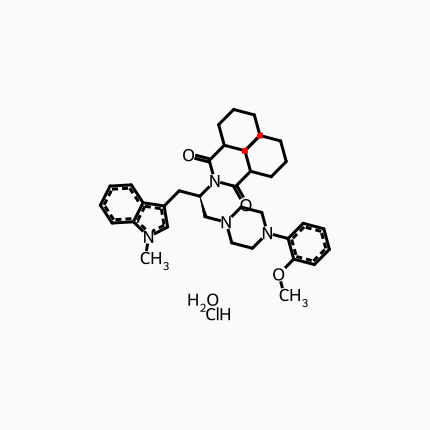 COc1ccccc1N1CCN(C[C@@H](Cc2cn(C)c3ccccc23)N(C(=O)C2CCCCC2)C(=O)C2CCCCC2)CC1.Cl.O